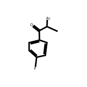 CC(=O)C(C)C(=O)c1ccc(F)cc1